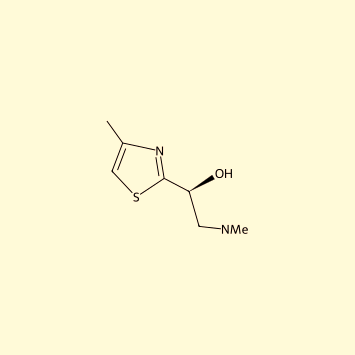 CNC[C@H](O)c1nc(C)cs1